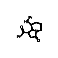 CC(C)NC1CCCN2C(=O)CC(C(=O)C(C)C)C12